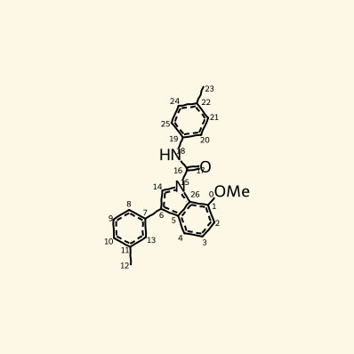 COc1cccc2c(-c3cccc(C)c3)cn(C(=O)Nc3ccc(C)cc3)c12